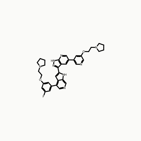 Fc1cc(OCCN2CCCC2)cc(-c2cncc3[nH]c(-c4n[nH]c5ncc(-c6cncc(OCCN7CCCC7)c6)cc45)cc23)c1